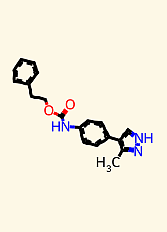 Cc1n[nH]cc1-c1ccc(NC(=O)OCCc2ccccc2)cc1